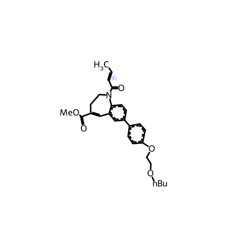 C/C=C/C(=O)N1CCC(C(=O)OC)=Cc2cc(-c3ccc(OCCOCCCC)cc3)ccc21